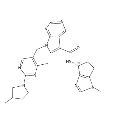 Cc1nc(N2CCC(C)C2)ncc1Cn1cc(C(=O)N[C@@H]2CCc3c2ncn3C)c2cncnc21